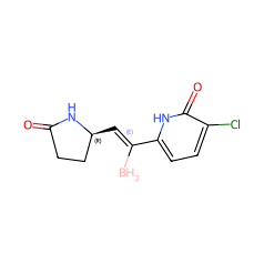 B/C(=C\[C@H]1CCC(=O)N1)c1ccc(Cl)c(=O)[nH]1